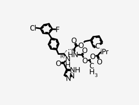 CC(OC(=O)N[C@H](C[C@@H](Cc1ccc(-c2cc(Cl)ccc2F)cc1)NC(=O)c1cnn[nH]1)C(=O)OCc1ccccc1)OC(=O)C(C)C